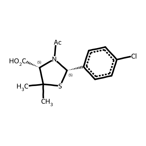 CC(=O)N1[C@@H](C(=O)O)C(C)(C)S[C@H]1c1ccc(Cl)cc1